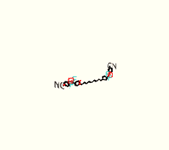 N#Cc1ccc(OC(F)(F)c2ccc(CCCCCCCCCc3ccc(C(F)(F)Oc4ccc(C#N)cc4)cc3)cc2)cc1